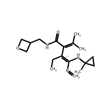 C=N/C(NC1(C)CC1)=C(\CC)C(C(=O)NCC1COC1)=C(C)C